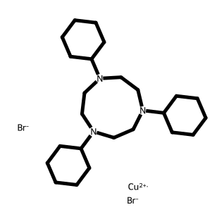 C1CCC(N2CCN(C3CCCCC3)CCN(C3CCCCC3)CC2)CC1.[Br-].[Br-].[Cu+2]